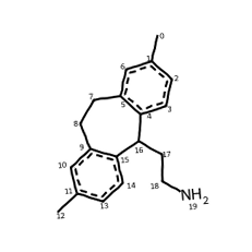 Cc1ccc2c(c1)CCc1cc(C)ccc1C2CCN